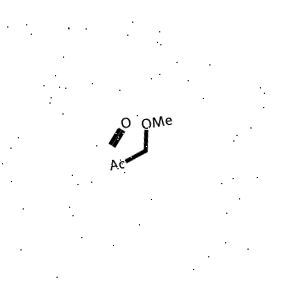 C=O.COCC(C)=O